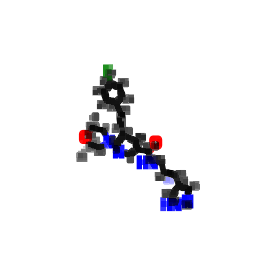 C[C@@H]1CN(c2ncc(C(=O)NC/C=C/c3cn[nH]c3)cc2C#Cc2ccc(F)cc2)C[C@H](C)O1